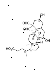 C[C@H](CCC(=O)O)[C@H]1CC[C@H]2[C@@H]3[C@H](O)CC4C[C@H](O)CC(C=O)(C=O)[C@]4(C)[C@H]3CC[C@]12C